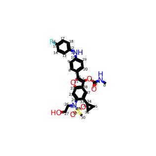 CNC(=O)Oc1c(-c2ccc(Nc3ccc(F)cc3)cc2)oc2cc(N(CCO)S(C)(=O)=O)c(C3CC3)cc12